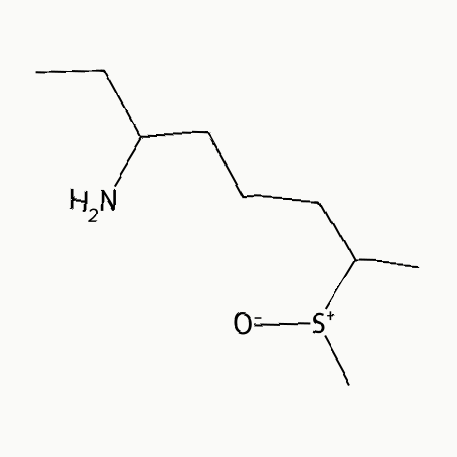 CCC(N)CCCC(C)[S+](C)[O-]